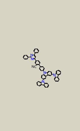 N#Cc1cc(-c2cc(-c3ccccc3)nc(-c3ccccc3)n2)ccc1-c1ccc(-n2c3ccc(-n4c5ccccc5c5ccccc54)cc3c3cc(-n4c5ccccc5c5ccccc54)ccc32)cc1